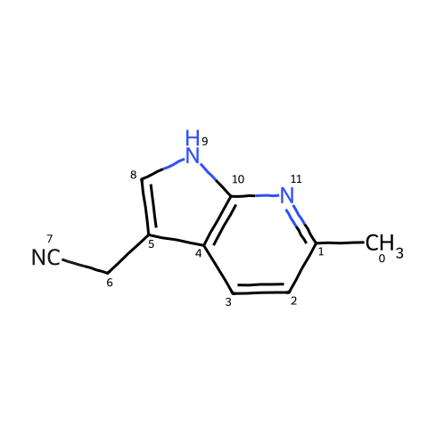 Cc1ccc2c(CC#N)c[nH]c2n1